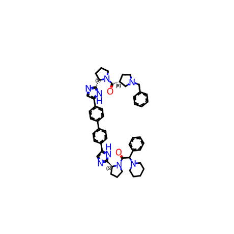 O=C(C(c1ccccc1)N1CCCCC1)N1CCC[C@H]1c1ncc(-c2ccc(-c3ccc(-c4cnc([C@@H]5CCCN5C(=O)[C@@H]5CCN(Cc6ccccc6)C5)[nH]4)cc3)cc2)[nH]1